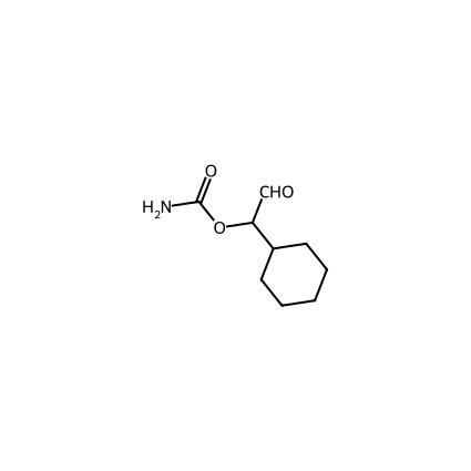 NC(=O)OC(C=O)C1CCCCC1